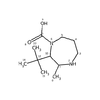 CC1NCCCN(C(=O)O)C1C(C)(C)C